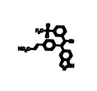 CC/C(=C(/c1ccc(/C=C/C(=O)O)cc1)c1ccc2[nH]ncc2c1)c1cccc(S(=O)(=O)C(F)(F)F)c1